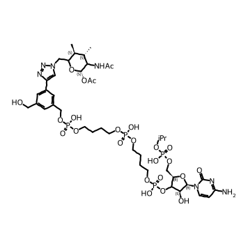 CC(=O)NC1[C@H](OC(C)=O)OC(Cn2cc(-c3cc(CO)cc(COP(=O)(O)OCCCCOP(=O)(O)OCCCCOP(=O)(O)OC4[C@@H](COP(=O)(O)OC(C)C)O[C@@H](n5ccc(N)nc5=O)[C@H]4O)c3)nn2)[C@@H](C)[C@@H]1C